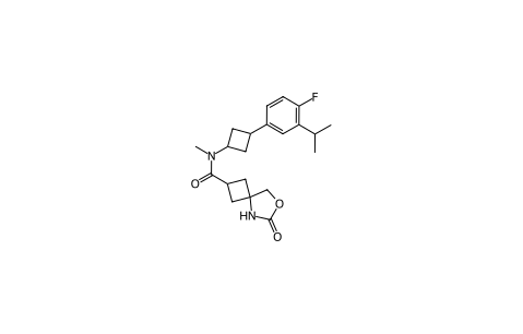 CC(C)c1cc(C2CC(N(C)C(=O)C3CC4(COC(=O)N4)C3)C2)ccc1F